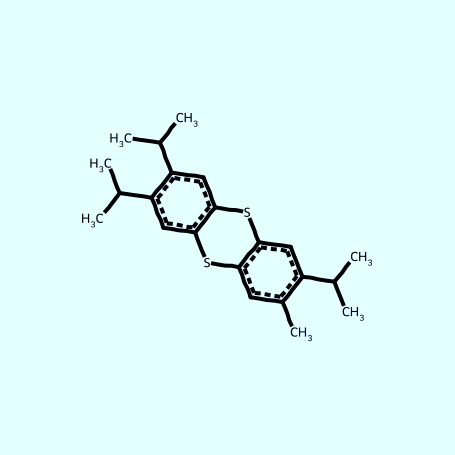 Cc1cc2c(cc1C(C)C)Sc1cc(C(C)C)c(C(C)C)cc1S2